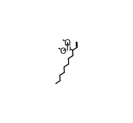 C=C[CH](CCCCCCCC)[Ti]([O]C)[O]C